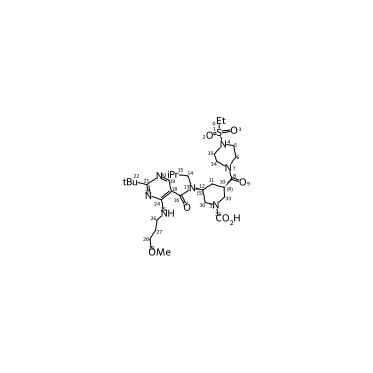 CCS(=O)(=O)N1CCN(C(=O)[C@@H]2C[C@H](N(CC(C)C)C(=O)c3cnc(C(C)(C)C)nc3NCCCOC)CN(C(=O)O)C2)CC1